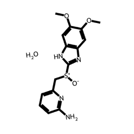 COc1cc2nc([S+]([O-])Cc3cccc(N)n3)[nH]c2cc1OC.O